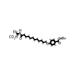 CCC(NC(=O)CCCCCCCCCCCOc1ccc(C(=O)OC(C)(C)C)cc1)C(=O)O